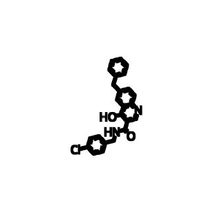 O=C(NCc1ccc(Cl)cc1)c1cnc2ccc(Cc3ccccc3)cc2c1O